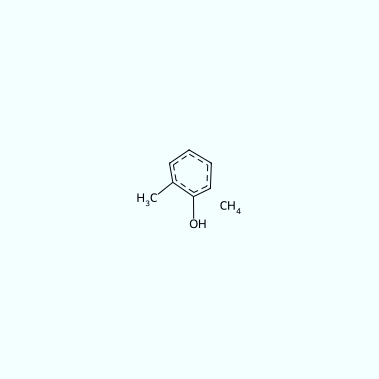 C.Cc1ccccc1O